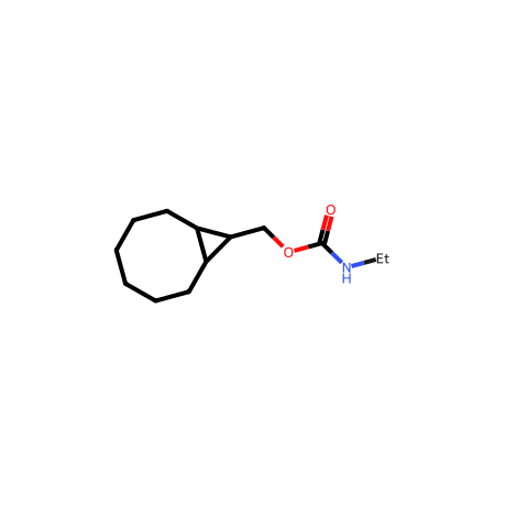 CCNC(=O)OCC1C2CCCCCCC21